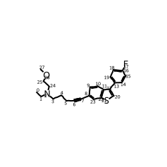 CCN(CCCC#Cc1ccc2c(-c3ccc(F)cc3)csc2c1)CCOC